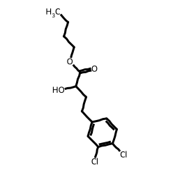 CCCCOC(=O)C(O)CCc1ccc(Cl)c(Cl)c1